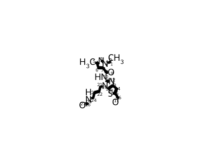 CCn1nc(C)cc1C(=O)Nc1nc2cc(C=O)sc2n1C/C=C/CNC=O